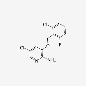 Nc1ncc(Cl)cc1OCc1c(F)cccc1Cl